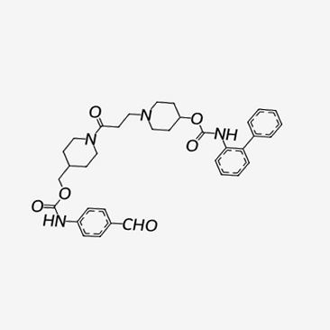 O=Cc1ccc(NC(=O)OCC2CCN(C(=O)CCN3CCC(OC(=O)Nc4ccccc4-c4ccccc4)CC3)CC2)cc1